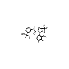 COc1c([C@H]2[C@H](C(=O)Nc3ccnc(C(C)(O)CF)c3)O[C@@](C)(C(F)(F)F)[C@H]2C)ccc(F)c1F